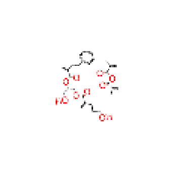 C=C(C)C(=O)OC(=O)C(=C)C.C=C(CCCO)C(=O)OCC(CO)OC(=O)C(=C)CCc1ccccc1